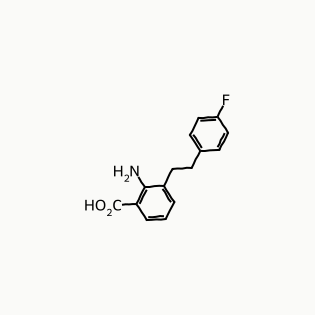 Nc1c(CCc2ccc(F)cc2)cccc1C(=O)O